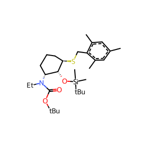 CCN(C(=O)OC(C)(C)C)[C@@H]1CCC[C@@H](SCc2c(C)cc(C)cc2C)[C@@H]1O[Si](C)(C)C(C)(C)C